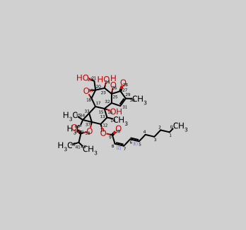 CCCCC/C=C/C=C\C(=O)OC1C(C)C2(O)C(C3OC3(CO)C(O)C3(O)C(=O)C(C)=CC32)C2C(C)(C)C12OC(=O)C(C)C